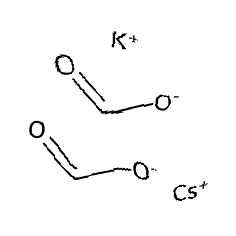 O=C[O-].O=C[O-].[Cs+].[K+]